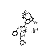 CCc1cn2c3c(cc(C(=O)N[C@@H](Cc4ccccc4)[C@H](O)CNCc4cccnc4)cc13)N(C)S(=O)(=O)CC2.O=CO